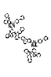 c1ccc(-c2ccc(-c3nc(-c4ccc5c(c4)oc4cc(-c6cccc7c6c6cc8ccccc8cc6n7-c6cc(-c7nc(-c8ccc(-c9ccccc9)cc8)nc(-c8cccc9c8sc8ccccc89)n7)cc7c6oc6ccccc67)ccc45)nc(-c4cc(-n5c6ccccc6c6cc7ccccc7cc65)c5oc6ccccc6c5c4)n3)cc2)cc1